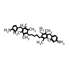 Cc1c(C)c(Cc2ccc(N)cc2)c(C)c(C)c1CCCCCc1c(C)c(C)c(Cc2ccc(N)cc2)c(C)c1C